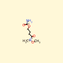 CON(C)C(=O)CCCOC(N)=O